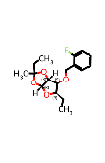 CC[C@H]1O[C@@H]2OC(C)(CC)O[C@@H]2[C@H]1OCc1ccccc1F